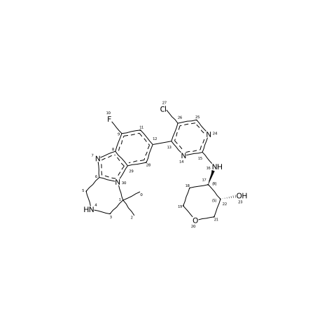 CC1(C)CNCc2nc3c(F)cc(-c4nc(N[C@@H]5CCOC[C@H]5O)ncc4Cl)cc3n21